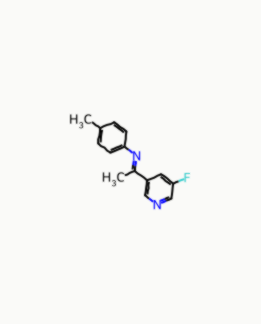 C/C(=N\c1ccc(C)cc1)c1cncc(F)c1